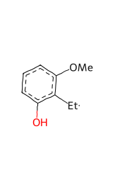 C[CH]c1c(O)cccc1OC